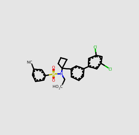 N#Cc1cccc(S(=O)(=O)N(CC(=O)O)C2(c3cccc(-c4cc(Cl)cc(Cl)c4)c3)CCC2)c1